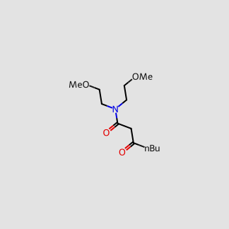 CCCCC(=O)CC(=O)N(CCOC)CCOC